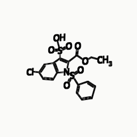 CCOC(=O)c1c(S(=O)(=O)O)c2cc(Cl)ccc2n1S(=O)(=O)c1ccccc1